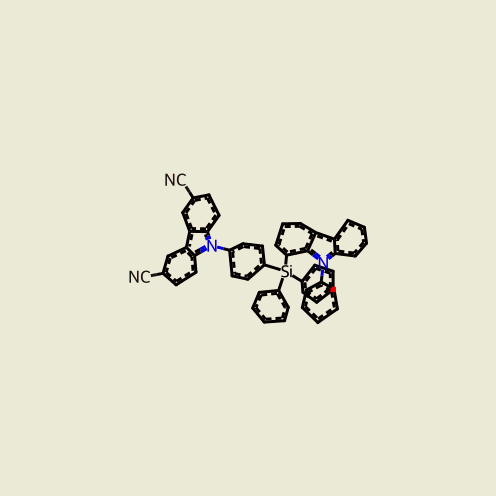 N#Cc1ccc2c(c1)c1cc(C#N)ccc1n2-c1ccc([Si](c2ccccc2)(c2ccccc2)c2cccc3c4ccccc4n(-c4ccccc4)c23)cc1